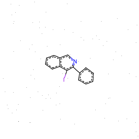 Ic1c(-c2ccccc2)ncc2ccccc12